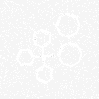 C1=CCCCCC=C1.C1=CCCCCC=C1.[Ni][PH](c1ccccc1)(c1ccccc1)c1ccccc1